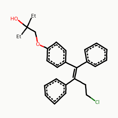 CCC(O)(CC)COc1ccc(/C(=C(/CCCl)c2ccccc2)c2ccccc2)cc1